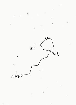 CCCCCCCCCCCC[N+]1(C)CCOCC1.[Br-]